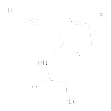 [2H]C#Cc1nc(Br)cnc1NC(=O)OC(C)(C)C